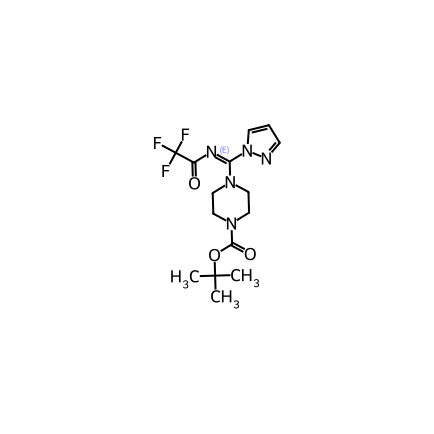 CC(C)(C)OC(=O)N1CCN(/C(=N\C(=O)C(F)(F)F)n2cccn2)CC1